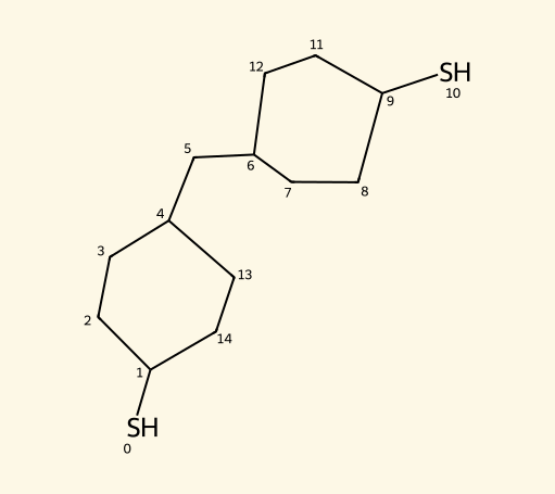 SC1CCC(CC2CCC(S)CC2)CC1